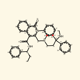 CC[C@H](NC(=O)c1c(CN2CCC(NC)(c3ccccc3)CC2)n(-c2ccccc2)c(=O)c2ccccc12)c1ccccc1